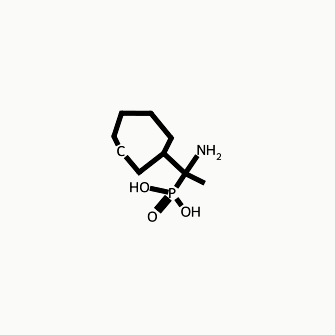 CC(N)(C1CCCCCC1)P(=O)(O)O